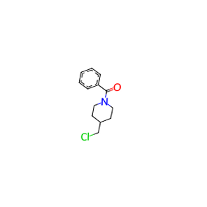 O=C(c1ccccc1)N1CCC(CCl)CC1